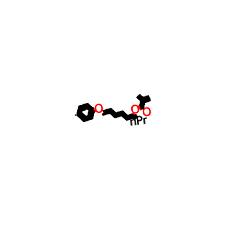 C=C(C)C(=O)OC(CCC)CCCCCOc1cc[c]cc1